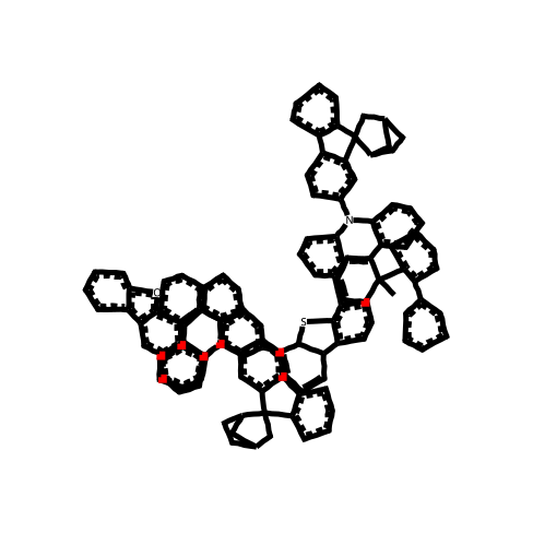 CC1(c2ccccc2-c2ccccc2)CC=CC=C1c1ccccc1N(c1cccc(-c2cccc3c2SC2C(c4ccc(-c5ccccc5-c5ccccc5N(c5ccc6c(c5)C5(CC7CCC5C7)c5ccccc5-6)c5ccccc5-c5cccc6c5oc5ccccc56)c(-c5ccccc5)c4)=CC=CC32)c1)c1ccc2c(c1)C1(CC3CCC1C3)c1ccccc1-2